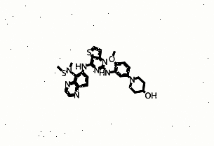 COc1ccc(N2CCC(O)CC2)cc1Nc1nc(Nc2ccc3nccnc3c2N(C)SC)c2sccc2n1